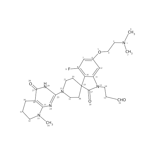 CN(C)CCOc1cc(F)c2c(c1)N(CCC=O)C(=O)C21CCN(c2nc3c(c(=O)[nH]2)CCCN3C)CC1